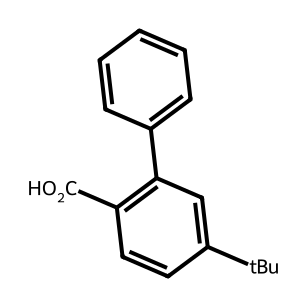 CC(C)(C)c1ccc(C(=O)O)c(-c2ccccc2)c1